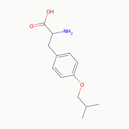 CC(C)COc1ccc(CC(N)C(=O)O)cc1